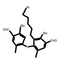 Cc1cc(C=O)c(C(C)(C)C)cc1Sc1c(C)cc(C=O)c(C(C)(C)C)c1CCCCCC(C)C